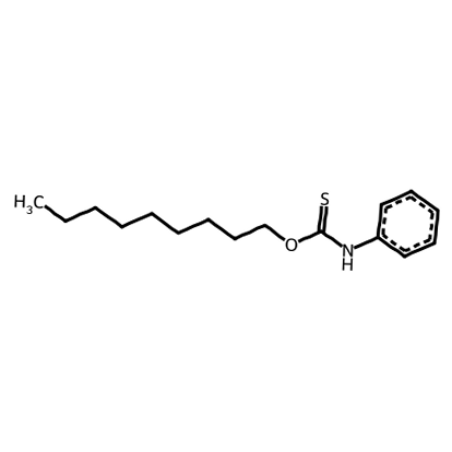 CCCCCCCCCOC(=S)Nc1ccccc1